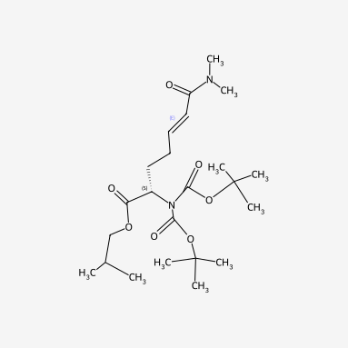 CC(C)COC(=O)[C@H](CC/C=C/C(=O)N(C)C)N(C(=O)OC(C)(C)C)C(=O)OC(C)(C)C